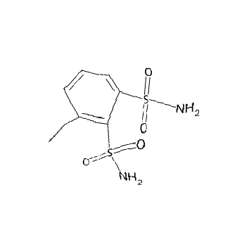 Cc1cccc(S(N)(=O)=O)c1S(N)(=O)=O